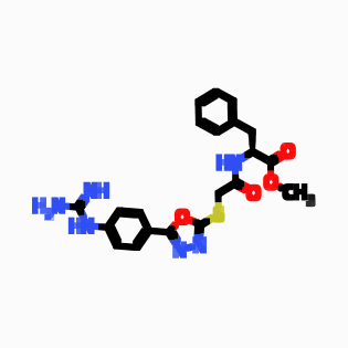 COC(=O)[C@H](Cc1ccccc1)NC(=O)CSc1nnc(-c2ccc(NC(=N)N)cc2)o1